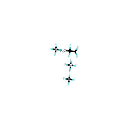 FC(F)C(F)(F)C(F)(F)F.F[B-](F)(F)F.F[B-](F)(F)F.F[B-](F)(F)F